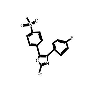 [CH2]Cc1nc(-c2ccc(F)cc2)c(-c2ccc(S(C)(=O)=O)cc2)o1